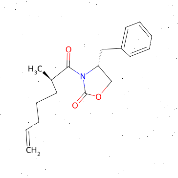 C=CCCC[C@@H](C)C(=O)N1C(=O)OC[C@H]1Cc1ccccc1